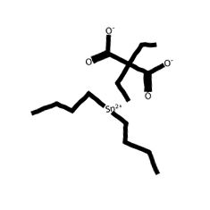 CCC(CC)(C(=O)[O-])C(=O)[O-].CCC[CH2][Sn+2][CH2]CCC